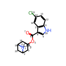 CN1C2CC(OC(=O)c3c[nH]c4ccc(Cl)cc34)CC1C2